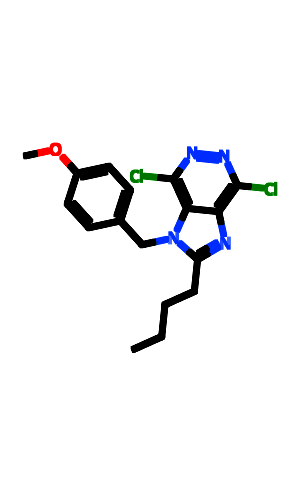 CCCCc1nc2c(Cl)nnc(Cl)c2n1Cc1ccc(OC)cc1